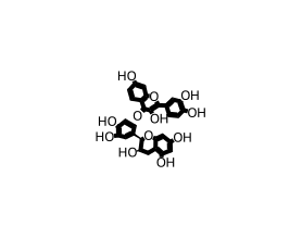 O=c1c(O)c(-c2ccc(O)c(O)c2)oc2cc(O)ccc12.Oc1cc(O)c2c(c1)O[C@H](c1ccc(O)c(O)c1)[C@@H](O)C2